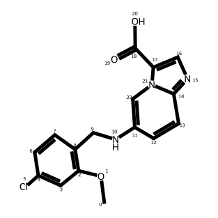 COc1cc(Cl)ccc1CNc1ccc2ncc(C(=O)O)n2c1